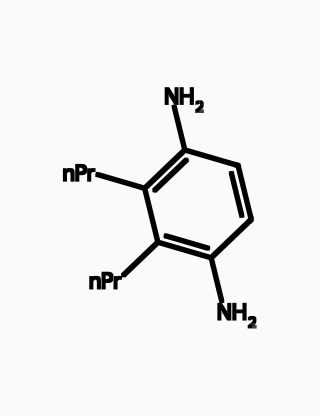 CCCc1c(N)ccc(N)c1CCC